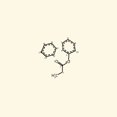 CCC(=O)Oc1ccccc1.[c]1ccccc1